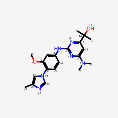 COc1cc(Nc2nc(N(C)C)cc(C(C)(C)O)n2)ccc1-n1cnc(C)c1